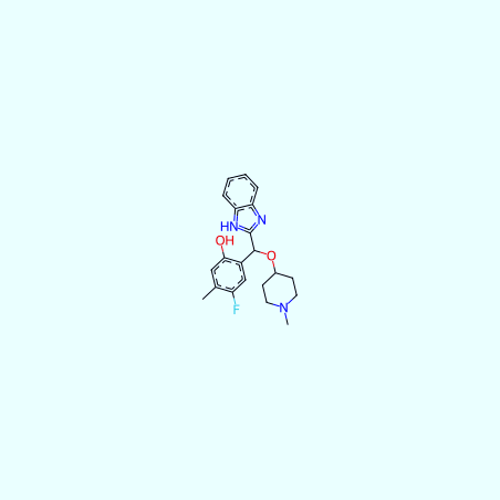 Cc1cc(O)c(C(OC2CCN(C)CC2)c2nc3ccccc3[nH]2)cc1F